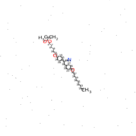 C=C(C)C(=O)OCCCCCCOc1ccc(C(C#N)=Cc2ccc(OCCCCCCCCCC)cc2)cc1